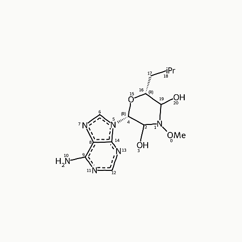 CON1C(O)[C@H](n2cnc3c(N)ncnc32)O[C@H](CC(C)C)C1O